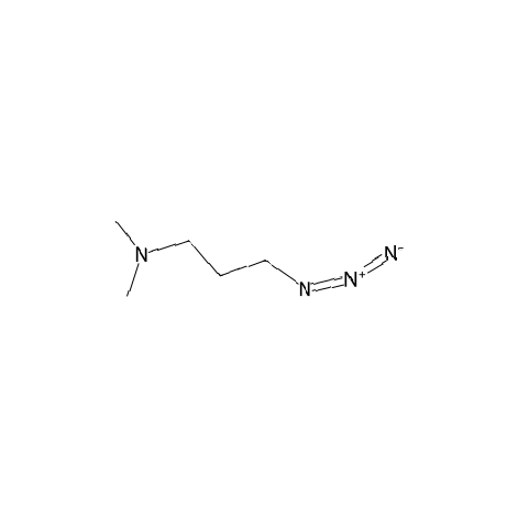 CN(C)CCCN=[N+]=[N-]